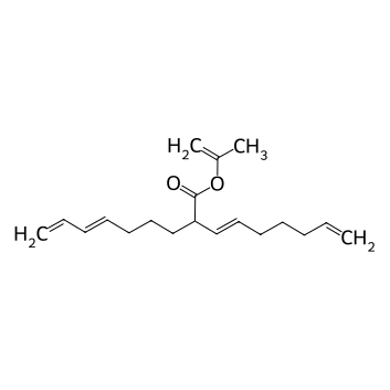 C=CC=CCCCC(C=CCCCC=C)C(=O)OC(=C)C